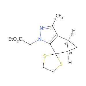 CCOC(=O)Cn1nc(C(F)(F)F)c2c1C1(SCCS1)[C@@H]1C[C@H]21